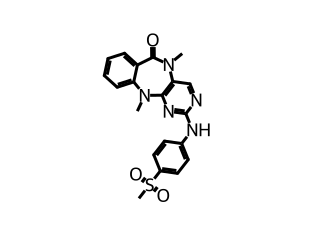 CN1C(=O)c2ccccc2N(C)c2nc(Nc3ccc(S(C)(=O)=O)cc3)ncc21